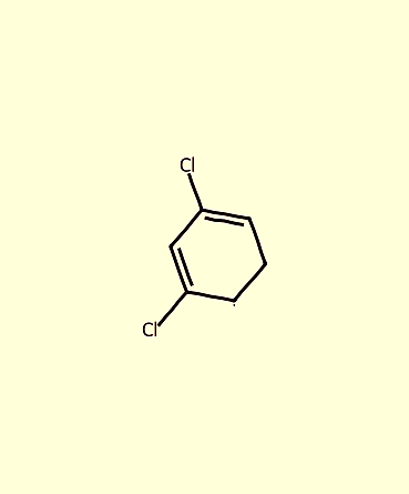 ClC1=CC(Cl)=CC[CH]1